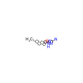 CCCC1CCC2C(CCC3C2CCC2(C)C(C(=O)Nc4ncc(C#N)cn4)CCC32)C1